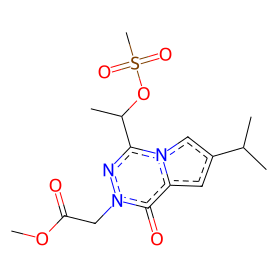 COC(=O)Cn1nc(C(C)OS(C)(=O)=O)n2cc(C(C)C)cc2c1=O